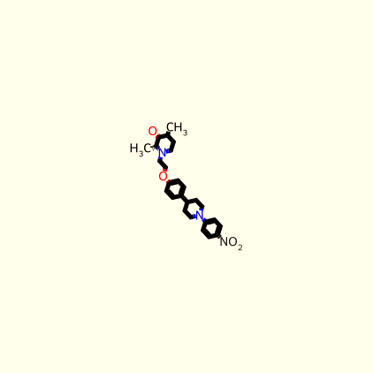 CC1CCN(CCOc2ccc(C3CCN(c4ccc([N+](=O)[O-])cc4)CC3)cc2)[C@H](C)C1=O